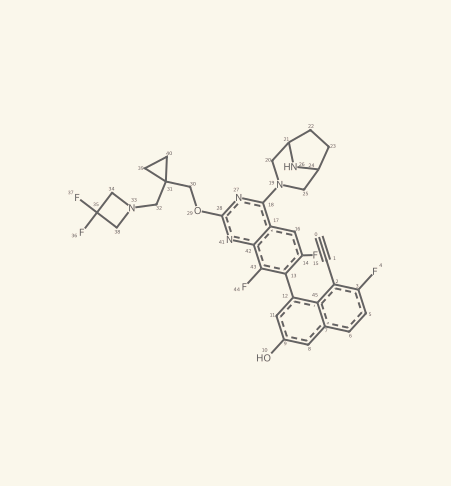 C#Cc1c(F)ccc2cc(O)cc(-c3c(F)cc4c(N5CC6CCC(C5)N6)nc(OCC5(CN6CC(F)(F)C6)CC5)nc4c3F)c12